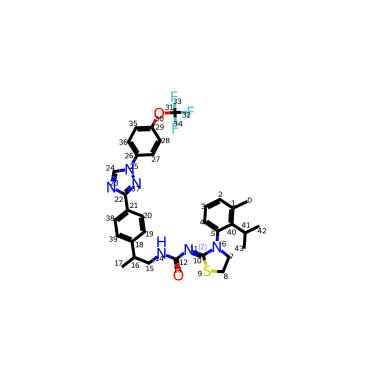 Cc1cccc(N2CCS/C2=N\C(=O)NCC(C)c2ccc(-c3ncn(-c4ccc(OC(F)(F)F)cc4)n3)cc2)c1C(C)C